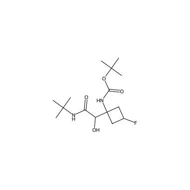 CC(C)(C)NC(=O)C(O)C1(NC(=O)OC(C)(C)C)CC(F)C1